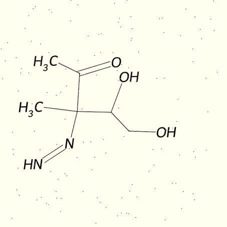 CC(=O)C(C)(N=N)C(O)CO